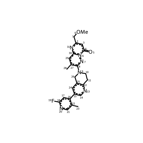 COCc1cc(=O)n2nc(N3CCc4ncc(-c5cc(F)ncc5C)cc4C3)c(C)cc2n1